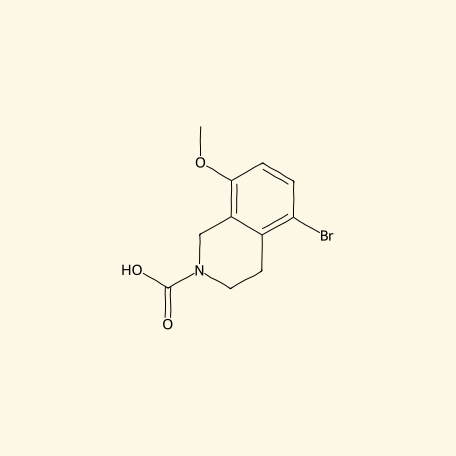 COc1ccc(Br)c2c1CN(C(=O)O)CC2